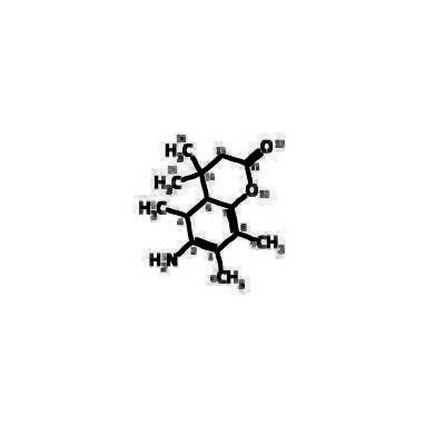 CC1=C(N)C(C)C2C(=C1C)OC(=O)CC2(C)C